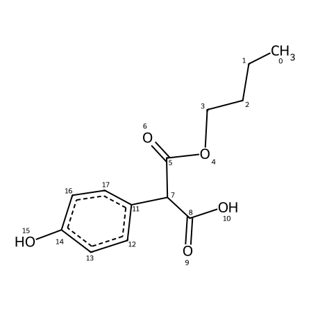 CCCCOC(=O)C(C(=O)O)c1ccc(O)cc1